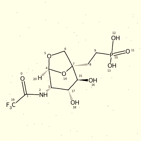 O=C(N[C@@H]1[C@H]2OC[C@](CCP(=O)(O)O)(O2)[C@@H](O)[C@@H]1O)C(F)(F)F